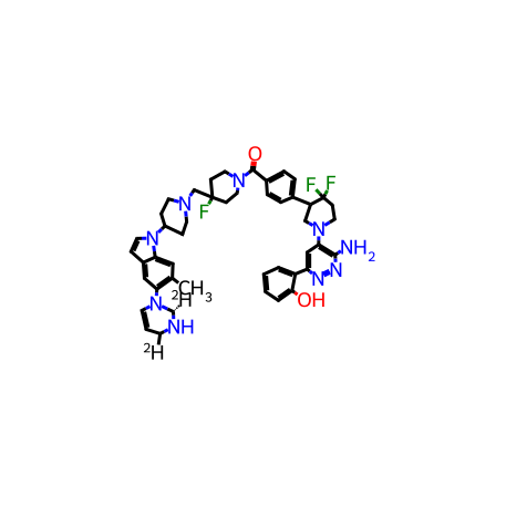 [2H]C1C=CN(c2cc3ccn(C4CCN(CC5(F)CCN(C(=O)c6ccc(C7CN(c8cc(-c9ccccc9O)nnc8N)CCC7(F)F)cc6)CC5)CC4)c3cc2C)[C@H]([2H])N1